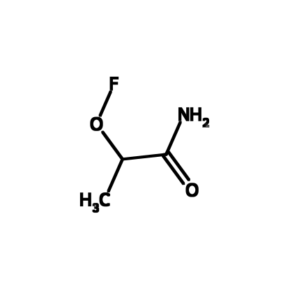 CC(OF)C(N)=O